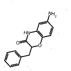 Nc1ccc2c(c1)NC(=O)C(Cc1ccccc1)O2